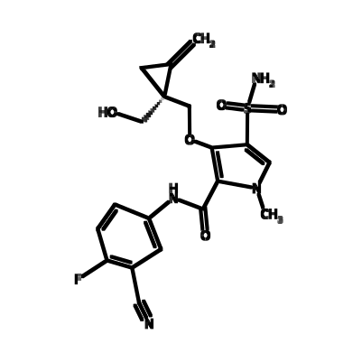 C=C1C[C@]1(CO)COc1c(S(N)(=O)=O)cn(C)c1C(=O)Nc1ccc(F)c(C#N)c1